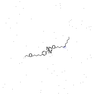 CCCCC/C=C\CCCCOc1cnc(-c2ccc(CCCCCOCCC)cc2)nc1